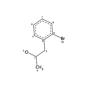 CC([O])Cc1ccccc1Br